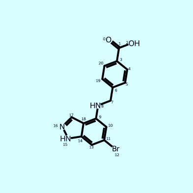 O=C(O)c1ccc(CNc2cc(Br)cc3[nH]ncc23)cc1